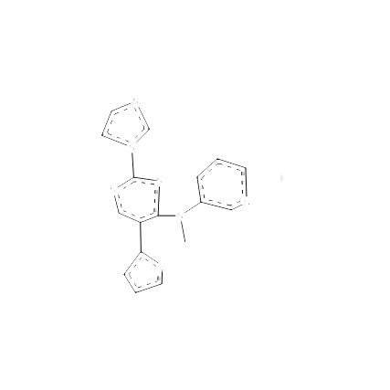 CN(c1cccnc1)c1nc(-n2ccnc2)ncc1-c1cccs1.Cl.Cl